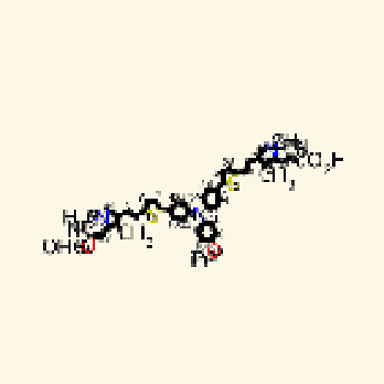 Cc1c(/C=C/c2ccc(-c3ccc(N(c4ccc(OC(C)C)cc4)c4ccc(-c5ccc(/C=C/c6cn(C)c(/C=C(\C#N)C(=O)O)c6C)s5)cc4)cc3)s2)cn(C)c1/C=C(\C#N)OC=O